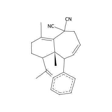 C=C(C)C1CCC(C)=C2C(C#N)(C#N)CC=CC(c3ccccc3)[C@@]21C